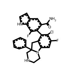 NC(=O)c1cc2cc[nH]c2c(F)c1-c1c(Cl)c(F)cc2c1CC1(c3ccccc3)CNCCN21